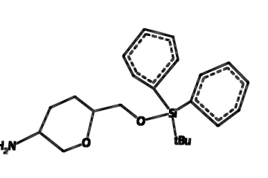 CC(C)(C)[Si](OCC1CCC(N)CO1)(c1ccccc1)c1ccccc1